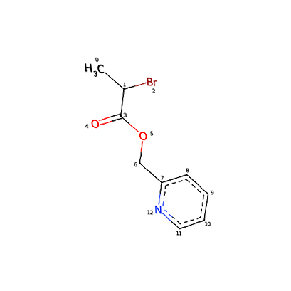 CC(Br)C(=O)OCc1ccccn1